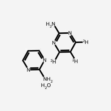 Nc1ncccn1.O.[2H]c1nc(N)nc([2H])c1[2H]